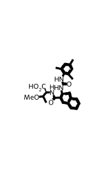 COC(C)[C@H](NC(=O)c1cc2ccccc2cc1NC(=O)Nc1c(C)cc(C)cc1C)C(=O)O